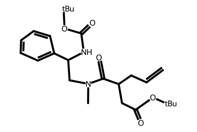 C=CCC(CC(=O)OC(C)(C)C)C(=O)N(C)CC(NC(=O)OC(C)(C)C)c1ccccc1